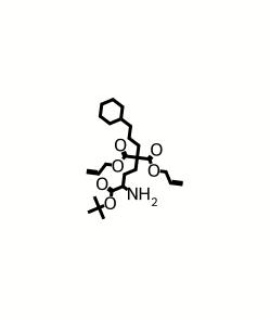 C=CCOC(=O)C(CCCC1CCCCC1)(CCC(N)C(=O)OC(C)(C)C)C(=O)OCC=C